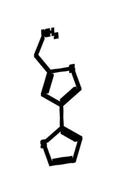 NCc1cc(-c2cccs2)cs1